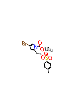 Cc1ccc(S(=O)(=O)OCCc2cc(Br)cn2C(=O)OC(C)(C)C)cc1